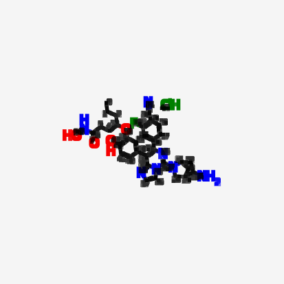 CCCC(CCC(=O)NO)Oc1cc(-c2c(-c3ccc(C#N)c(F)c3)nc(N3CC4CC3CC4N)n3ccnc23)ccc1O.Cl